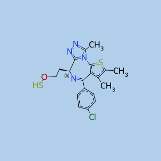 Cc1sc2c(c1C)C(c1ccc(Cl)cc1)=N[C@@H](CCOS)c1nnc(C)n1-2